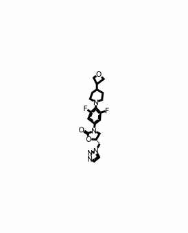 O=C1O[C@@H](Cn2ccnn2)CN1c1cc(F)c(N2CCC(C3COC3)CC2)c(F)c1